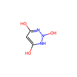 OC1=CC(O)=NN(O)N1